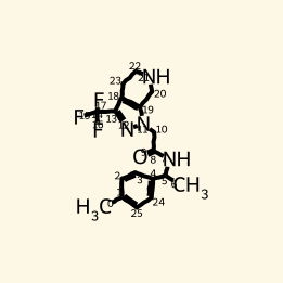 Cc1ccc(C(C)NC(=O)Cn2nc(C(F)(F)F)c3c2CNCC3)cc1